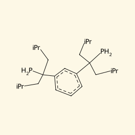 CC(C)CC(P)(CC(C)C)c1cccc(C(P)(CC(C)C)CC(C)C)c1